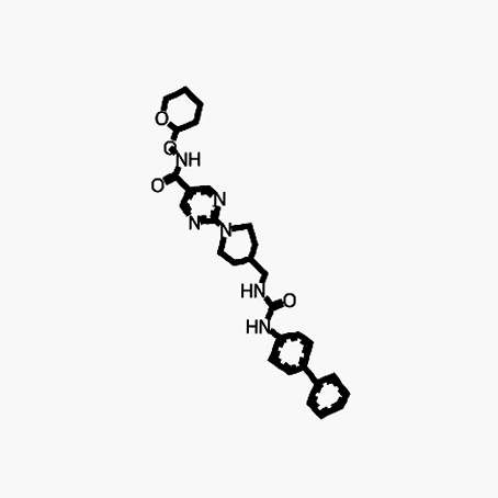 O=C(NCC1CCN(c2ncc(C(=O)NOC3CCCCO3)cn2)CC1)Nc1ccc(-c2ccccc2)cc1